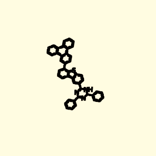 c1ccc(C2=NC(c3ccccc3)NC(c3ccc4sc5c(-c6ccc7c8ccccc8c8ccccc8c7c6)cccc5c4c3)=N2)cc1